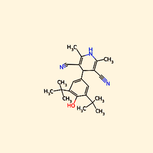 CC1=C(C#N)C(c2cc(C(C)(C)C)c(O)c(C(C)(C)C)c2)C(C#N)=C(C)N1